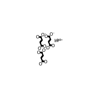 O=C([O-])/C=C/C(=O)[O-].O=C([O-])/C=C/C(=O)[O-].O=C([O-])/C=C/C(=O)[O-].[Ir+3].[Ir+3]